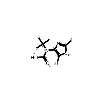 Cc1nc(N(C(=O)O)C(C)(C)C)c(I)s1